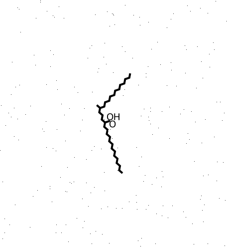 CCCCCCCCCCCCCCC(CCCC(C)CCCCCCCCCCCC)C(=O)O